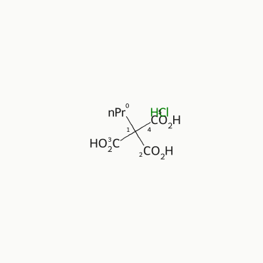 CCCC(C(=O)O)(C(=O)O)C(=O)O.Cl